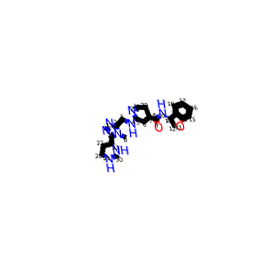 Cn1c(CNC2CC(C(=O)N[C@H]3COc4ccccc43)CC=N2)nnc1C1CCNCN1